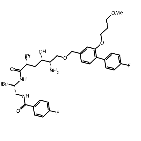 CC[C@H](C)[C@@H](CNC(=O)c1ccc(F)cc1)NC(=O)[C@@H](C[C@H](O)[C@@H](N)COCc1ccc(-c2ccc(F)cc2)c(OCCCOC)c1)C(C)C